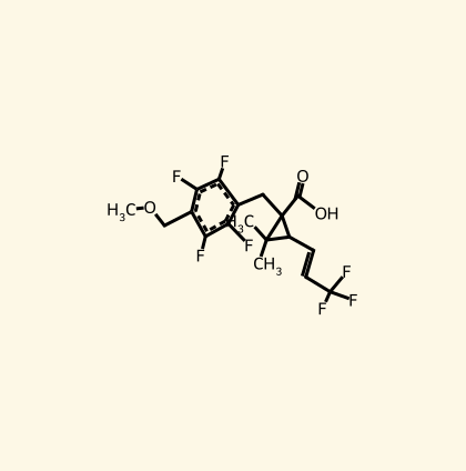 COCc1c(F)c(F)c(CC2(C(=O)O)C(C=CC(F)(F)F)C2(C)C)c(F)c1F